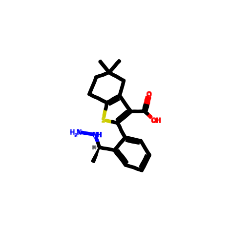 C[C@@H](NN)c1ccccc1-c1sc2c(c1C(=O)O)CC(C)(C)CC2